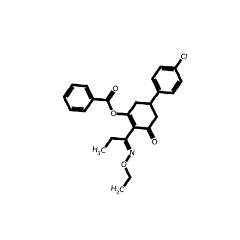 CCON=C(CC)C1=C(OC(=O)c2ccccc2)CC(c2ccc(Cl)cc2)CC1=O